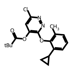 Cc1cccc(C2CC2)c1Oc1nnc(Cl)cc1OC(=O)C(C)(C)C